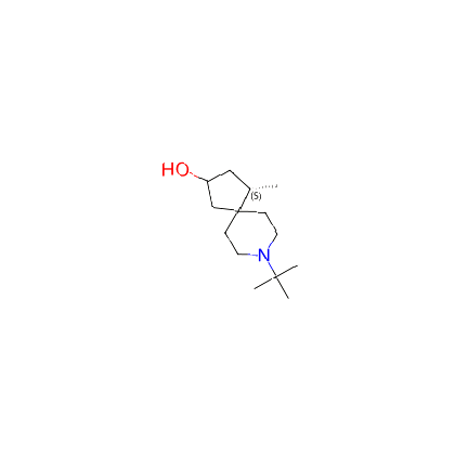 C[C@H]1CC(O)CC12CCN(C(C)(C)C)CC2